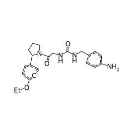 CCOc1ccc(C2CCCN2C(=O)CNC(=O)NCc2ccc(N)cc2)cc1